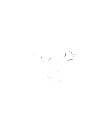 CNC(O)C1CN(C(=O)OC(C)(C)C)C(Cc2ccc(Cl)cc2)CO1